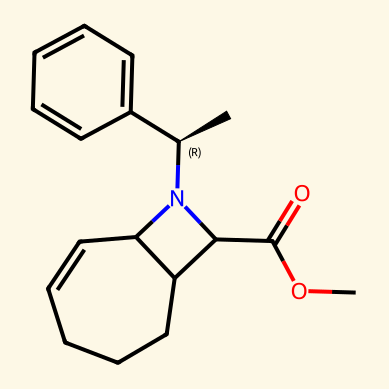 COC(=O)C1C2CCCC=CC2N1[C@H](C)c1ccccc1